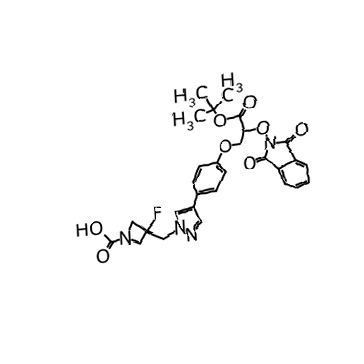 CC(C)(C)OC(=O)C(COc1ccc(-c2cnn(CC3(F)CN(C(=O)O)C3)c2)cc1)ON1C(=O)c2ccccc2C1=O